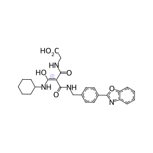 O=C(O)CNC(=O)/C(C(=O)NCc1ccc(-c2nc3ccccc3o2)cc1)=C(\O)NC1CCCCC1